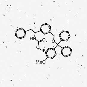 COc1ccc(C(OCc2cccc(C(Cc3ccccc3)NC(=O)OC(C)(C)C)c2)(c2ccccc2)c2ccccc2)cc1